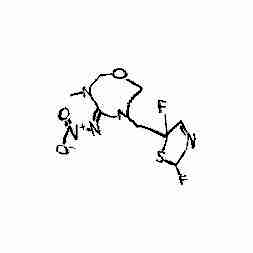 CN1COCN(CC2(F)C=NC(F)S2)C1=N[N+](=O)[O-]